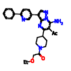 CCOCC(=O)N1CCC(c2nc3c(-c4ccc(-c5ccccc5)nc4)cnn3c(N)c2C(C)=O)CC1